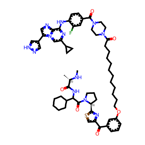 CN[C@@H](C)C(=O)NC(C(=O)N1CCC[C@H]1c1nc(C(=O)c2cccc(OCCCCCCCCCCCC(=O)N3CCN(C(=O)c4ccc(Nc5nc(C6CC6)cn6c(-c7cn[nH]c7)cnc56)c(F)c4)CC3)c2)cs1)C1CCCCC1